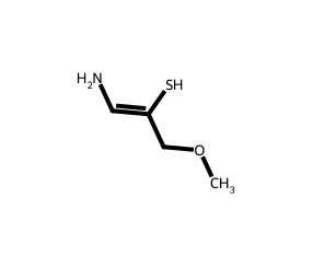 COC/C(S)=C/N